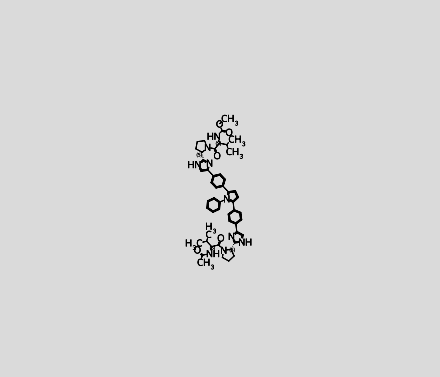 COC(=O)N[C@H](C(=O)N1CCC[C@H]1c1nc(-c2ccc(-c3ccc(-c4ccc(-c5c[nH]c([C@@H]6CCCN6C(=O)[C@@H](NC(C)=O)C(C)C)n5)cc4)n3-c3ccccc3)cc2)c[nH]1)C(C)C